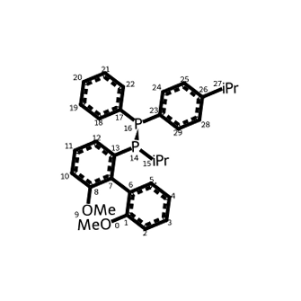 COc1ccc[c]c1-c1c(OC)cccc1P(C(C)C)[P@@](c1ccccc1)c1ccc(C(C)C)cc1